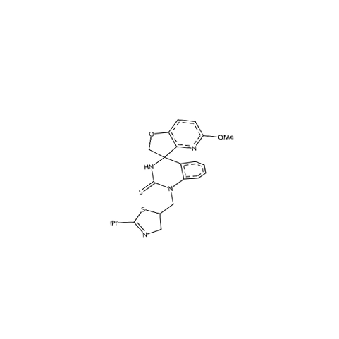 COc1ccc2c(n1)C1(CO2)NC(=S)N(CC2CN=C(C(C)C)S2)c2ccccc21